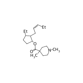 CC/C=C\CC1C(CC)CCC1OC(=O)C1(C)CCN(C)CC1